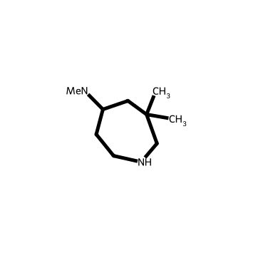 CNC1CCNCC(C)(C)C1